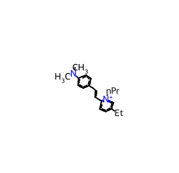 CCC[n+]1cc(CC)ccc1/C=C/c1ccc(N(C)C)cc1